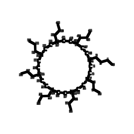 CCCCN1CCN(CCC)CCN(CCC)CCN(CCC)CCN(CCC)CCN(CCC)CCN(CCC)CCN(CCC)CC1